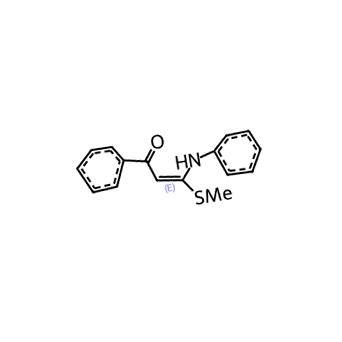 CS/C(=C/C(=O)c1ccccc1)Nc1ccccc1